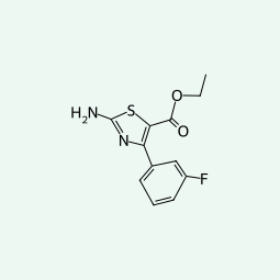 CCOC(=O)c1sc(N)nc1-c1cccc(F)c1